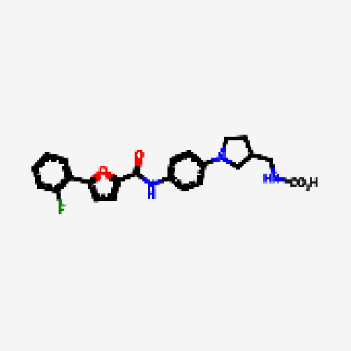 O=C(O)NCC1CCN(c2ccc(NC(=O)c3ccc(-c4ccccc4F)o3)cc2)C1